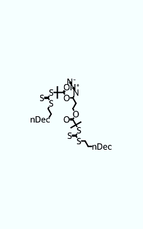 CCCCCCCCCCCCSC(=S)SC(C)(C)C(=O)OCCC(N=[N+]=[N-])OC(=O)C(C)(C)SC(=S)SCCCCCCCCCCCC